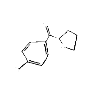 O=C(c1ccc(Cl)cc1)[C@H]1CCCN1